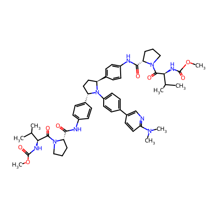 COC(=O)N[C@H](C(=O)N1CCC[C@H]1C(=O)Nc1ccc([C@@H]2CC[C@@H](c3ccc(NC(=O)[C@@H]4CCCN4C(=O)[C@@H](NC(=O)OC)C(C)C)cc3)N2c2ccc(-c3ccc(N(C)C)nc3)cc2)cc1)C(C)C